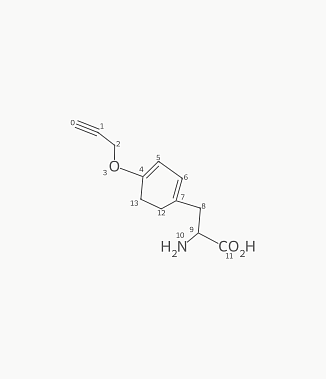 C#CCOC1=CC=C(CC(N)C(=O)O)CC1